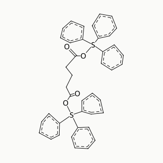 O=C(CCCC(=O)OS(c1ccccc1)(c1ccccc1)c1ccccc1)OS(c1ccccc1)(c1ccccc1)c1ccccc1